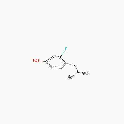 CNC(Cc1ccc(O)cc1F)C(C)=O